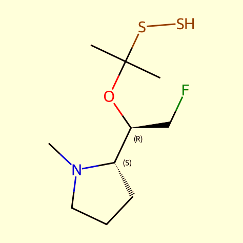 CN1CCC[C@H]1[C@H](CF)OC(C)(C)SS